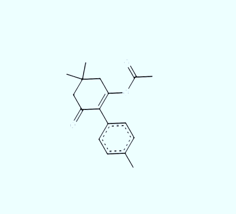 CC(=O)OC1=C(c2ccc(C)cc2)C(=O)CC(C)(C)C1